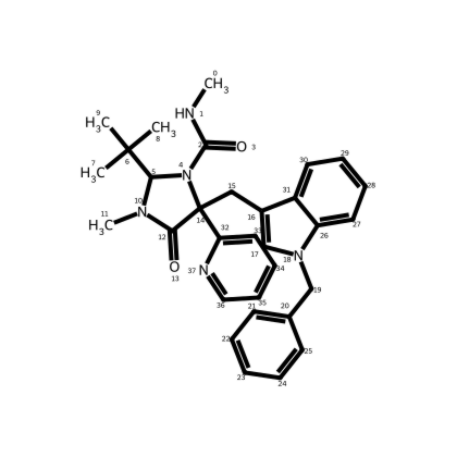 CNC(=O)N1C(C(C)(C)C)N(C)C(=O)C1(Cc1cn(Cc2ccccc2)c2ccccc12)c1ccccn1